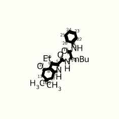 CCCC[C@H](NC(=O)c1[nH]c2c(c1CC)C(=O)CC(C)(C)C2)C(=O)Nc1ccccc1